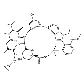 CCn1c(-c2cccnc2[C@H](C)OC)c2c3cc(ccc31)-c1cc(O)cc(c1)C[C@H](NC(=O)C(C(C)C)N(C)C(=O)CN(C)C(=O)[C@H]1N[C@@H]1C1CC1)C(=O)N1CCC[C@H](N1)C(=O)OCC(C)(C)C2